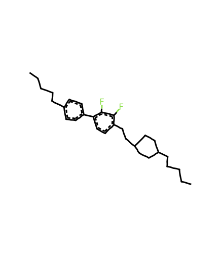 CCCCCc1ccc(-c2ccc(CCC3CCC(CCCCC)CC3)c(F)c2F)cc1